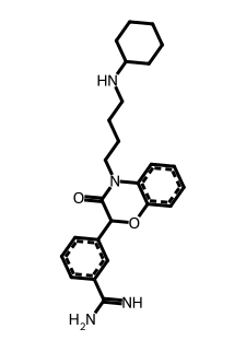 N=C(N)c1cccc(C2Oc3ccccc3N(CCCCNC3CCCCC3)C2=O)c1